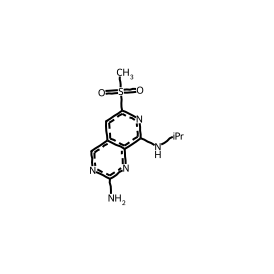 CC(C)Nc1nc(S(C)(=O)=O)cc2cnc(N)nc12